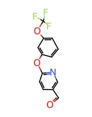 O=Cc1ccc(Oc2cccc(OC(F)(F)F)c2)nc1